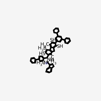 Bc1c(S)c(C(N/C(=N\C)C2=CCc3ccccc32)c2ccc(-c3ccccc3)cc2)c(C)c2c1-c1c(C)c(S)c(-c3cc(-c4ccccc4)cc(C4CC=CCC4)c3)c(S)c1C2